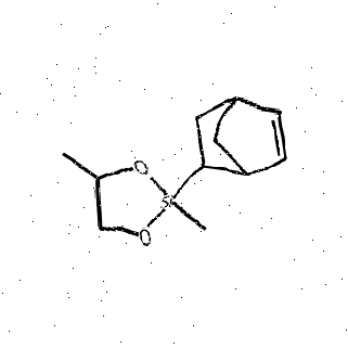 CC1CO[Si](C)(C2CC3C=CC2C3)O1